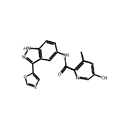 Cc1cc(C#N)cnc1C(=O)Nc1ccc2[nH]nc(-c3cnco3)c2c1